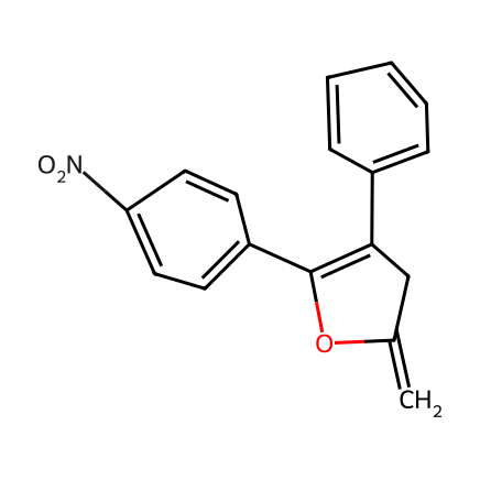 C=C1CC(c2ccccc2)=C(c2ccc([N+](=O)[O-])cc2)O1